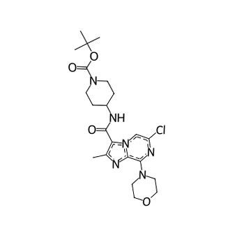 Cc1nc2c(N3CCOCC3)nc(Cl)cn2c1C(=O)NC1CCN(C(=O)OC(C)(C)C)CC1